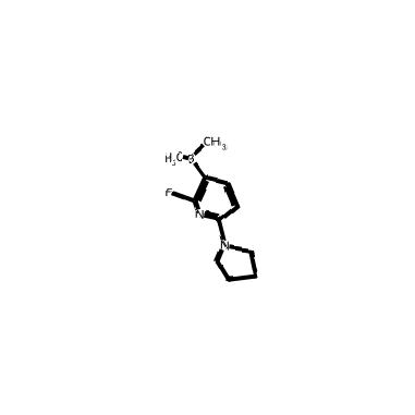 CB(C)c1ccc(N2CCCC2)nc1F